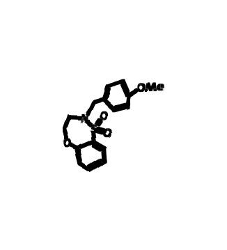 COc1ccc(CN2CCOc3ccccc3S2(=O)=O)cc1